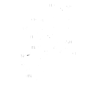 CN(C)C1CCC(C(NC(=O)C(F)(F)F)C(=O)N2C[C@H]3[C@@H]([C@H]2C(=O)N[C@H](C#N)C[C@@H]2CCNC2=O)C3(C)C)CC1